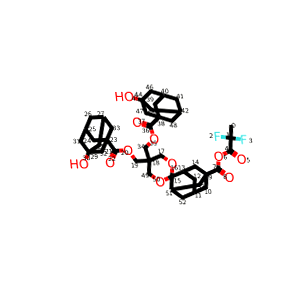 CC(F)(F)C(=O)OC(=O)C12CC3CC(C1)C1(OCC(COC(=O)C45CC6CC(CC(O)(C6)C4)C5)(COC(=O)C45CC6CC(CC(O)(C6)C4)C5)CO1)C(C3)C2